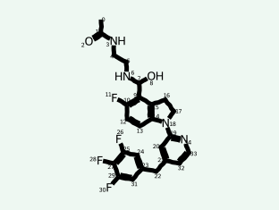 CC(=O)NCCNC(O)c1c(F)ccc2c1CCN2c1cc(Cc2cc(F)c(F)c(F)c2)ccn1